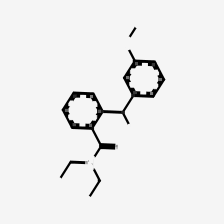 CCN(CC)C(=O)c1ccccc1C(Cl)c1cccc(OC)c1